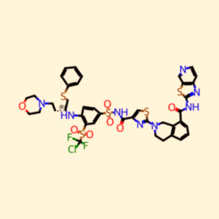 O=C(NS(=O)(=O)c1ccc(N[C@H](CCN2CCOCC2)CSc2ccccc2)c(S(=O)(=O)C(F)(F)Cl)c1)c1csc(N2CCc3cccc(C(=O)Nc4nc5ccncc5s4)c3C2)n1